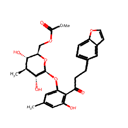 COC(=O)OC[C@H]1O[C@@H](Oc2cc(C)cc(O)c2C(=O)CCc2ccc3occc3c2)[C@H](O)[C@@H](C)[C@@H]1O